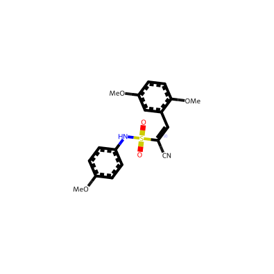 COc1ccc(NS(=O)(=O)/C(C#N)=C\c2cc(OC)ccc2OC)cc1